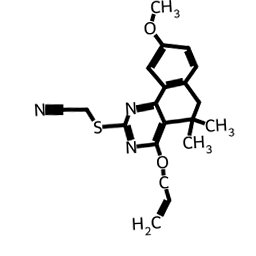 C=CCOc1nc(SCC#N)nc2c1C(C)(C)Cc1ccc(OC)cc1-2